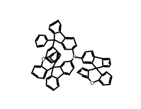 c1ccc(C2(c3ccccc3)c3ccccc3-c3ccc(N(c4ccc5c(c4)C4(c6ccccc6Oc6ccccc64)c4ccccc4-5)c4ccc5c(c4)C4(c6ccccc6Oc6ccccc64)c4ccccc4-5)cc32)cc1